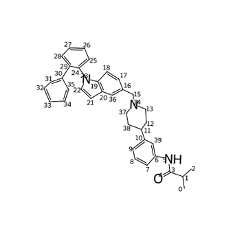 CC(C)C(=O)Nc1cccc(C2CCN(Cc3ccc4c(ccn4-c4ccccc4-c4ccccc4)c3)CC2)c1